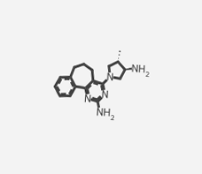 C[C@H]1CN(c2nc(N)nc3c2CCCc2ccccc2-3)C[C@@H]1N